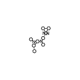 c1ccc(-c2ccc3c(c2)c2cc(N(c4ccccc4)c4ccc(-c5cnc6c7ccccc7c7ccccc7c6n5)cc4)ccc2n3-c2ccccc2)cc1